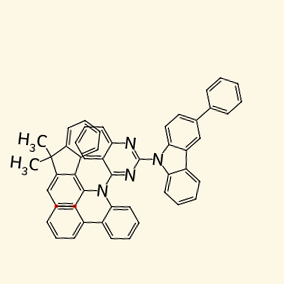 CC1(C)c2ccccc2-c2c(N(c3ccccc3-c3ccccc3)c3nc(-n4c5ccccc5c5cc(-c6ccccc6)ccc54)nc4ccccc34)cccc21